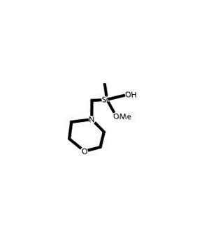 CO[Si](C)(O)CN1CCOCC1